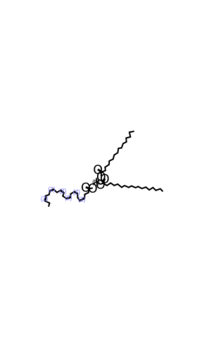 CC/C=C\C/C=C\C/C=C\C/C=C\C/C=C\C/C=C\CCC(=O)OC[C@@H](COC(=O)CCCCCCCCCCCCCCC)OC(=O)CCCCCCCCCCCCCCCCC